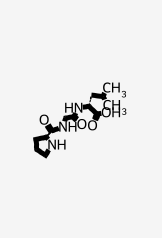 CC(C)C[C@@H](NC(=O)CNC(=O)[C@@H]1CCCN1)C(=O)O